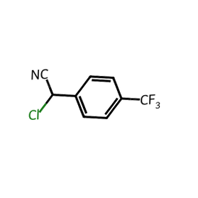 N#CC(Cl)c1ccc(C(F)(F)F)cc1